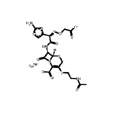 CC(=O)NCCSC1=C(C(=O)[O-])N2C(=O)[C@@H](NC(=O)/C(=N\OCC(=O)[O-])c3csc(N)n3)[C@@H]2SC1.[Na+].[Na+]